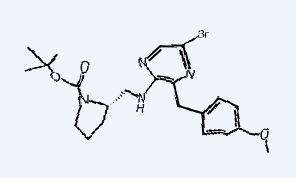 COc1ccc(Cc2nc(Br)cnc2NC[C@@H]2CCCN2C(=O)OC(C)(C)C)cc1